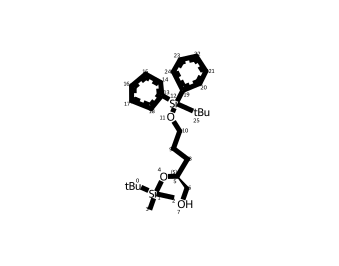 CC(C)(C)[Si](C)(C)O[C@H](CO)CCCO[Si](c1ccccc1)(c1ccccc1)C(C)(C)C